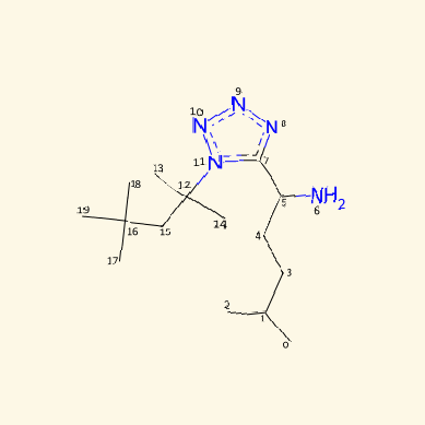 CC(C)CCC(N)c1nnnn1C(C)(C)CC(C)(C)C